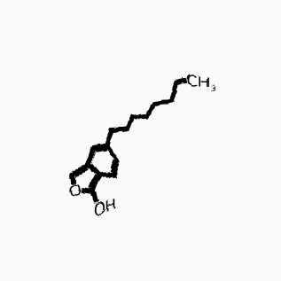 CCCCCCCCc1ccc2c(O)occ2c1